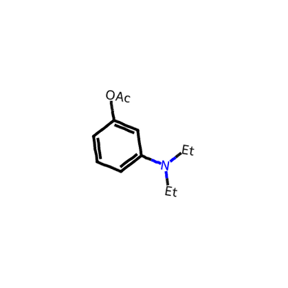 CCN(CC)c1cccc(OC(C)=O)c1